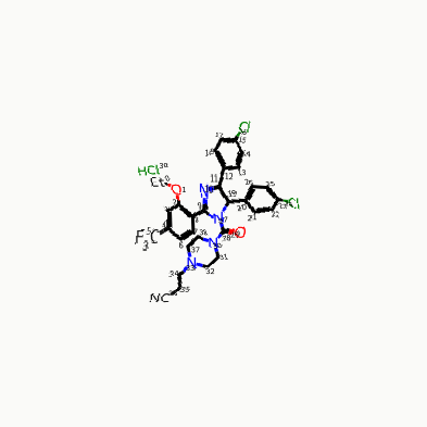 CCOc1cc(C(F)(F)F)ccc1C1=NC(c2ccc(Cl)cc2)C(c2ccc(Cl)cc2)N1C(=O)N1CCN(CCC#N)CC1.Cl